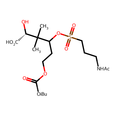 CC(=O)NCCCS(=O)(=O)OC(CCOC(=O)OCC(C)C)C(C)(C)[C@@H](O)C(=O)O